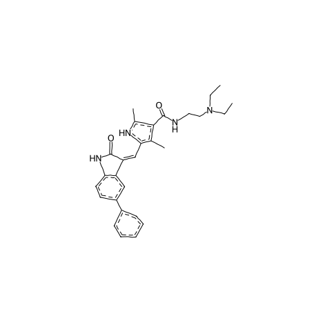 CCN(CC)CCNC(=O)c1c(C)[nH]c(C=C2C(=O)Nc3ccc(-c4ccccc4)cc32)c1C